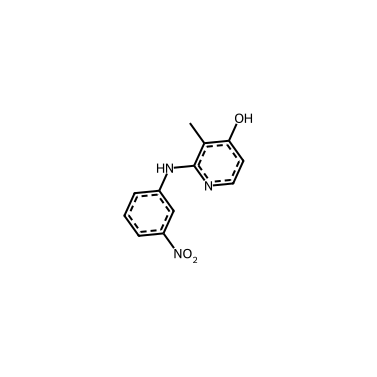 Cc1c(O)ccnc1Nc1cccc([N+](=O)[O-])c1